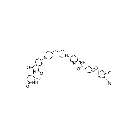 N#Cc1ccc(O[C@H]2CC[C@H](C(=O)Nc3ccc(N4CCC(CN5CCN(c6ccc7c(c6)C(=O)N(C6CCC(=O)NC6=O)C7=O)CC5)CC4)cn3)C2)cc1Cl